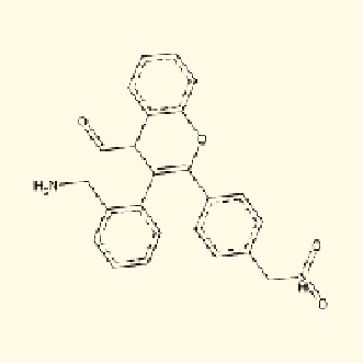 NCc1ccccc1C1=C(c2ccc(C[SH](=O)=O)cc2)Oc2ccccc2C1C=O